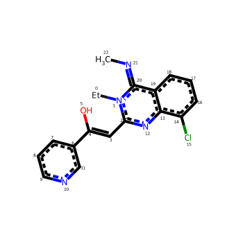 CCn1c(/C=C(\O)c2cccnc2)nc2c(Cl)cccc2/c1=N/C